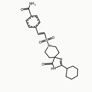 NC(=O)c1ccc(C=CS(=O)(=O)N2CCC3(CC2)N=C(C2CCCCC2)NC3=O)cc1